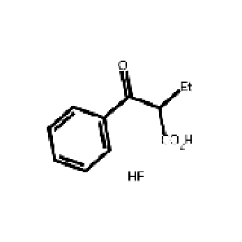 CCC(C(=O)O)C(=O)c1ccccc1.F